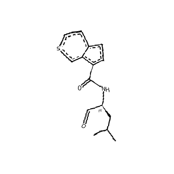 CC(C)C[C@@H](C=O)NC(=O)c1ccc2ccscc1-2